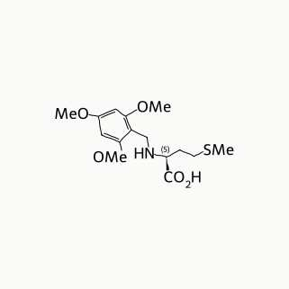 COc1cc(OC)c(CN[C@@H](CCSC)C(=O)O)c(OC)c1